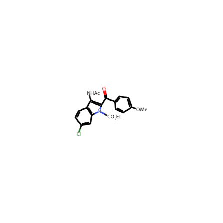 CCOC(=O)n1c(C(=O)c2ccc(OC)cc2)c(NC(C)=O)c2ccc(Cl)cc21